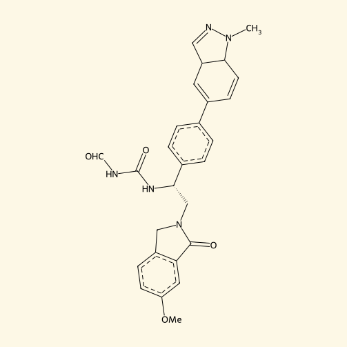 COc1ccc2c(c1)C(=O)N(C[C@H](NC(=O)NC=O)c1ccc(C3=CC4C=NN(C)C4C=C3)cc1)C2